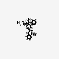 COC(=O)C1(Nc2ccccc2)CCN(CCc2ccccc2[N+](=O)[O-])CC1